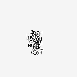 CO[C@@H]1O[C@@H](C(=O)O)[C@@H](O[C@@H]2OC(C(=O)O)[C@@H](O[C@@H]3O[C@@H](C(=O)O)[C@@H](O[C@@H]4OC(C(C)=O)[C@@H](OC)[C@@H](O)C4O)C(O)C3O)[C@H](O)C2O)C(O)C1O